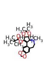 C[N+]1=C2C(=C(OC(=O)C(C)(C)C)[C@H]3OC(C)(C)O[C@@H]23)c2cc3c(cc2CC1)OCO3